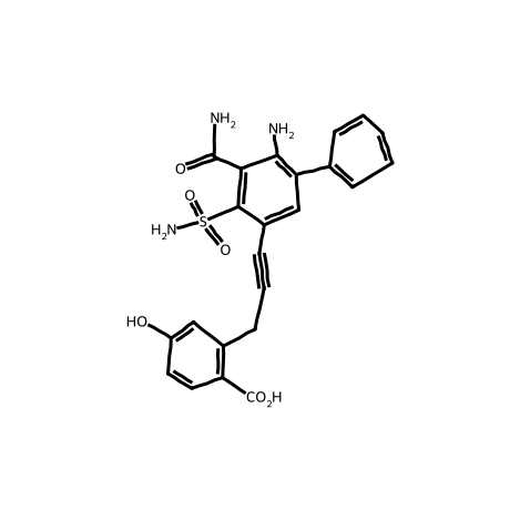 NC(=O)c1c(N)c(-c2ccccc2)cc(C#CCc2cc(O)ccc2C(=O)O)c1S(N)(=O)=O